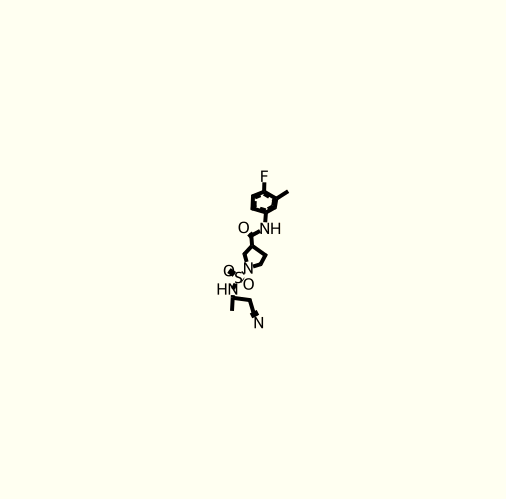 Cc1cc(NC(=O)C2CCN(S(=O)(=O)NC(C)CC#N)C2)ccc1F